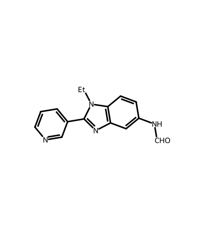 CCn1c(-c2cccnc2)nc2cc(NC=O)ccc21